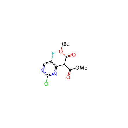 COC(=O)C(C(=O)OC(C)(C)C)c1nc(Cl)ncc1F